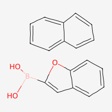 OB(O)c1cc2ccccc2o1.c1ccc2ccccc2c1